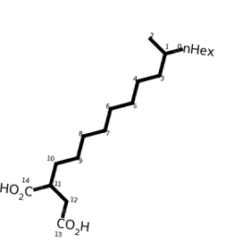 CCCCCCC(C)CCCCCCCCC(CC(=O)O)C(=O)O